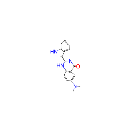 CN(C)c1ccc2[nH]c(-c3c[nH]c4ccccc34)nc(=O)c2c1